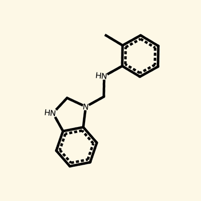 Cc1ccccc1NCN1CNc2ccccc21